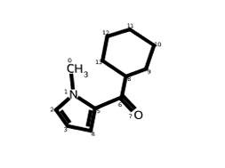 Cn1cccc1C(=O)C1CCCCC1